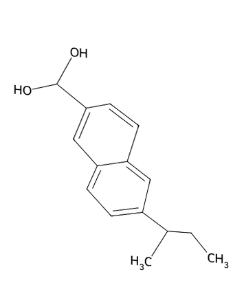 CCC(C)c1ccc2cc(C(O)O)ccc2c1